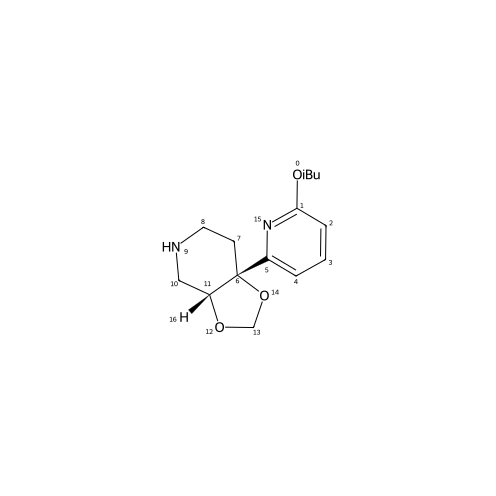 CC(C)COc1cccc([C@]23CCNC[C@H]2OCO3)n1